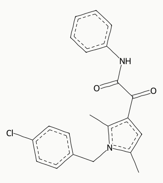 Cc1cc(C(=O)C(=O)Nc2ccccc2)c(C)n1Cc1ccc(Cl)cc1